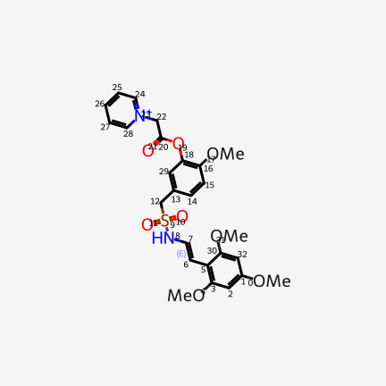 COc1cc(OC)c(/C=C/NS(=O)(=O)Cc2ccc(OC)c(OC(=O)C[n+]3ccccc3)c2)c(OC)c1